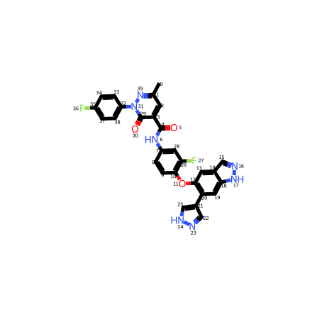 Cc1cc(C(=O)Nc2ccc(Oc3cc4cn[nH]c4cc3-c3cn[nH]c3)c(F)c2)c(=O)n(-c2ccc(F)cc2)n1